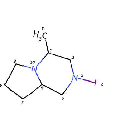 CC1CN(I)CC2CCCN12